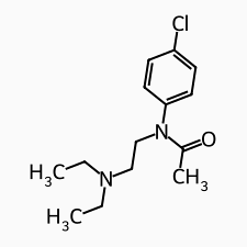 CCN(CC)CCN(C(C)=O)c1ccc(Cl)cc1